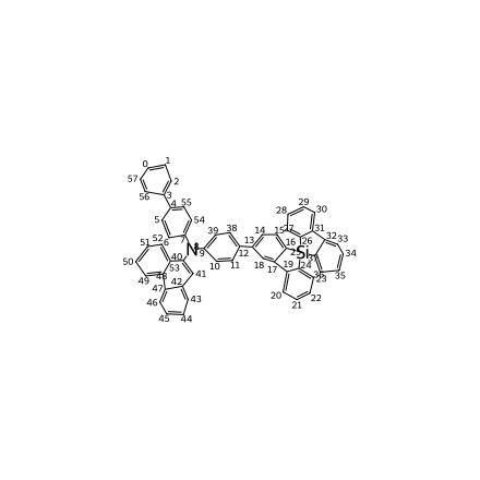 c1ccc(-c2ccc(N(c3ccc(-c4ccc5c(c4)-c4ccccc4[Si]54c5ccccc5-c5ccccc54)cc3)c3cc4ccccc4c4ccccc34)cc2)cc1